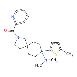 Cc1ccc(C2(N(C)C)CCC3(CCN(C(=O)c4ccccn4)C3)CC2)s1